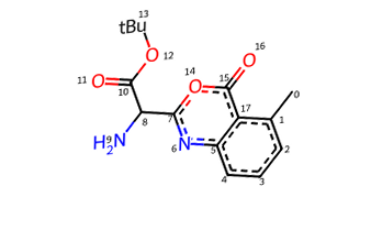 Cc1cccc2nc(C(N)C(=O)OC(C)(C)C)oc(=O)c12